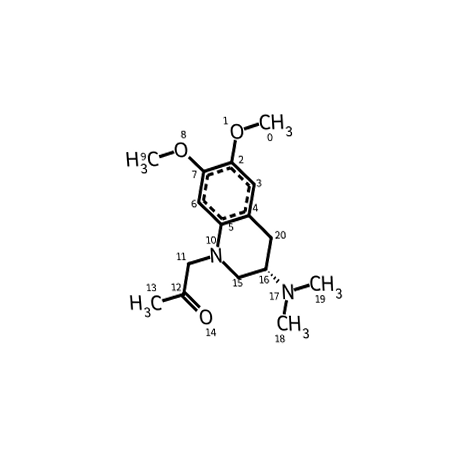 COc1cc2c(cc1OC)N(CC(C)=O)C[C@@H](N(C)C)C2